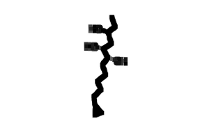 CC[C@H](O)C[C@@H](O)[C@H](O)CCCCCC1CC1